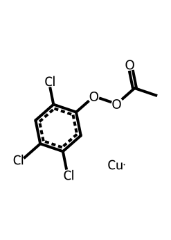 CC(=O)OOc1cc(Cl)c(Cl)cc1Cl.[Cu]